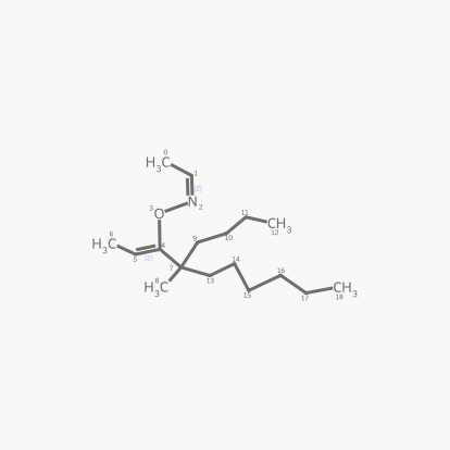 C/C=N\O/C(=C\C)C(C)(CCCC)CCCCCC